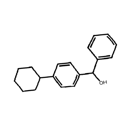 OC(c1ccccc1)c1ccc(C2CCCCC2)cc1